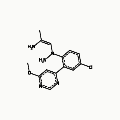 COc1cc(-c2cc(Cl)ccc2N(N)/C=C(/C)N)ncn1